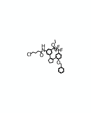 CCOC(=O)c1cc(NC(=O)CCCCl)cc(C2=C(c3cc(C(F)(F)F)ccc3OCc3ccccc3)CCC2)c1